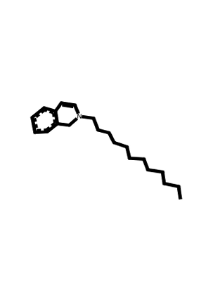 CCCCCCCCCCCCN1C=Cc2ccccc2C1